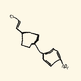 CCCc1ccc(C2CCC(/C=C/Cl)CC2)cc1